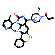 C=CC(=O)N1CC2CC[C@@H]1CN2c1nc(=O)n(-c2c(C)ccnc2C(C)C)c2nc(-c3ccccc3F)c(Cl)cc12